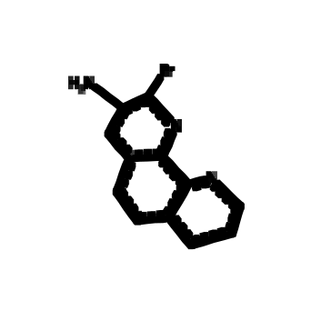 Nc1cc2ccc3cccnc3c2nc1Br